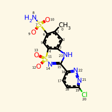 Cc1cc2c(cc1S(N)(=O)=O)S(=O)(=O)N=C(c1ccc(Cl)nn1)N2